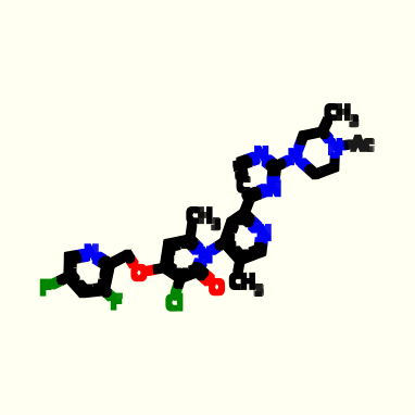 CC(=O)N1CCN(c2nccc(-c3cc(-n4c(C)cc(OCc5ncc(F)cc5F)c(Cl)c4=O)c(C)cn3)n2)CC1C